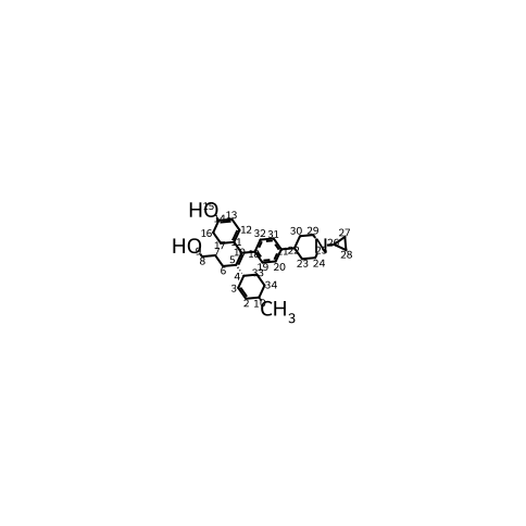 C[C@H]1C=C[C@H](/C(CCCO)=C(/C2=CC=C(O)CC2)c2ccc(C3CCN(C4CC4)CC3)cc2)CC1